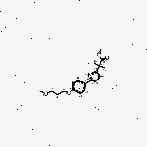 COCCCOc1ccc(-c2nc(C(C)(C)C(=O)OC)cs2)cc1